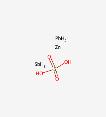 O=S(=O)(O)O.[PbH2].[SbH3].[Zn]